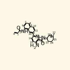 C=CC(=O)Nc1cccc2ccc(-c3ccc(N)c(C(=O)N[C@@H]4CCCN(C)C4)n3)cc12